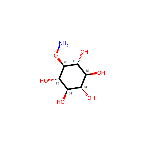 NO[C@H]1[C@H](O)[C@@H](O)[C@H](O)[C@@H](O)[C@@H]1O